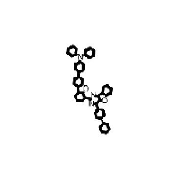 c1ccc(-c2ccc(-c3nc(-c4cccc5c4oc4cc(-c6ccc(N(c7ccccc7)c7ccccc7)cc6)ccc45)nc4c3oc3ccccc34)cc2)cc1